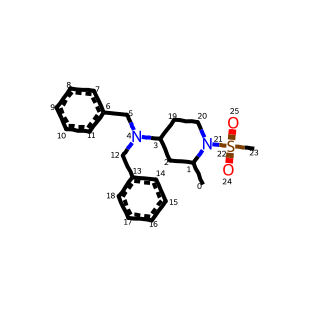 CC1CC(N(Cc2ccccc2)Cc2ccccc2)CCN1S(C)(=O)=O